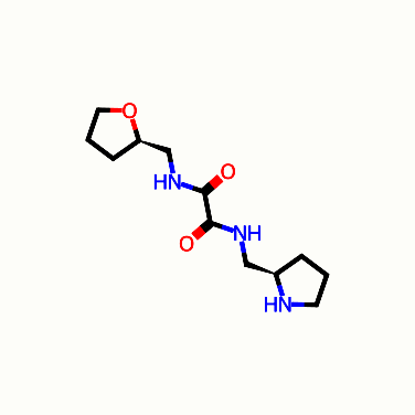 O=C(NC[C@H]1CCCN1)C(=O)NC[C@H]1CCCO1